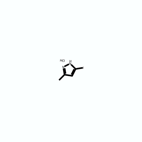 Cc1cc(I)[nH]n1.Cl